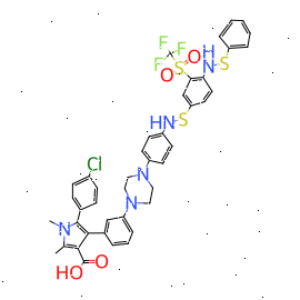 Cc1c(C(=O)O)c(-c2cccc(N3CCN(c4ccc(NSc5ccc(NSc6ccccc6)c(S(=O)(=O)C(F)(F)F)c5)cc4)CC3)c2)c(-c2ccc(Cl)cc2)n1C